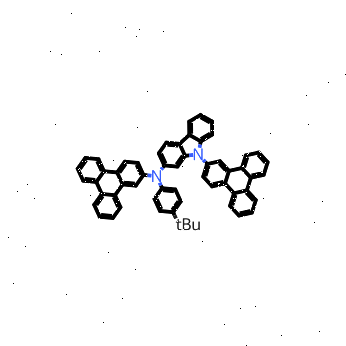 CC(C)(C)c1ccc(N(c2ccc3c4ccccc4c4ccccc4c3c2)c2ccc3c4ccccc4n(-c4ccc5c6ccccc6c6ccccc6c5c4)c3c2)cc1